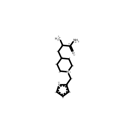 CC(CC1CCN(Cc2cccs2)CC1)C(N)=O